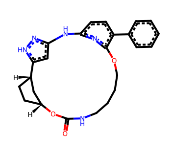 O=C1NCCCCOc2nc(ccc2-c2ccccc2)Nc2cc([nH]n2)[C@H]2CC[C@H](C2)O1